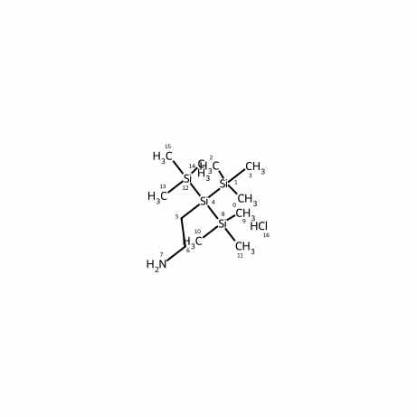 C[Si](C)(C)[Si](CCN)([Si](C)(C)C)[Si](C)(C)C.Cl